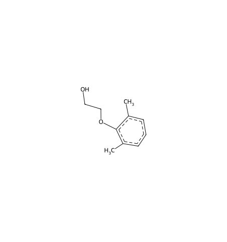 Cc1cccc(C)c1OCCO